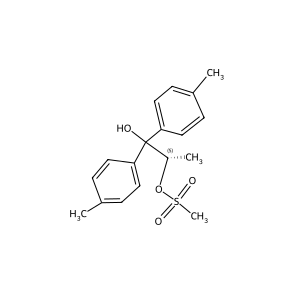 Cc1ccc(C(O)(c2ccc(C)cc2)[C@H](C)OS(C)(=O)=O)cc1